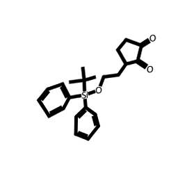 CC(C)(C)[Si](OCCC1CCC(=O)C1=O)(c1ccccc1)c1ccccc1